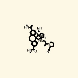 C=C(NC)c1ccc2c(c1)CCc1cc(C(=O)NC)ccc1C2(CC1(NCC(=C)N2CCCC2C#N)CCCC1)/C(N)=N/N=N